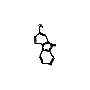 C[C]1=Cc2[nH]c3[c](c2[CH]=[Y]1)[U]=[Y][W]=[CH]3